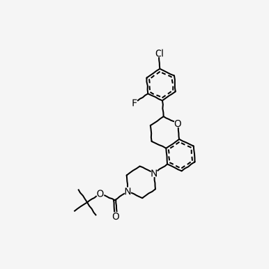 CC(C)(C)OC(=O)N1CCN(c2cccc3c2CCC(c2ccc(Cl)cc2F)O3)CC1